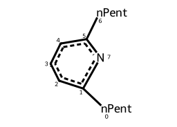 CCCCCc1c[c]cc(CCCCC)n1